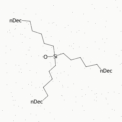 CCCCCCCCCCCCCCC[Si]([O])(CCCCCCCCCCCCCCC)CCCCCCCCCCCCCCC